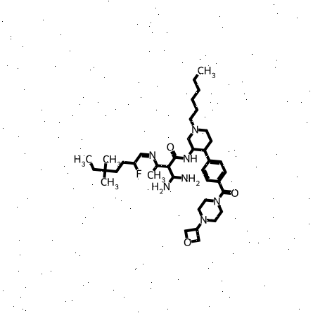 CCCCCCN1CCC(c2ccc(C(=O)N3CCN(C4COC4)CC3)cc2)C(NC(=O)C(C(N)N)C(C)/N=C\C(F)CCC(C)(C)CC)C1